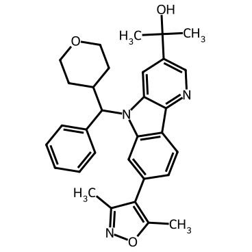 Cc1noc(C)c1-c1ccc2c3ncc(C(C)(C)O)cc3n(C(c3ccccc3)C3CCOCC3)c2c1